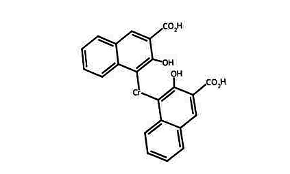 O=C(O)c1cc2ccccc2[c]([Cr][c]2c(O)c(C(=O)O)cc3ccccc23)c1O